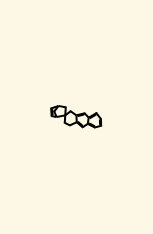 C1=CC2CC1CC21CCc2cc3ccccc3cc2C1